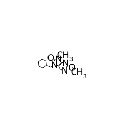 COc1ncc2c(n1)n(C)c(=O)n2CC1CCCCC1